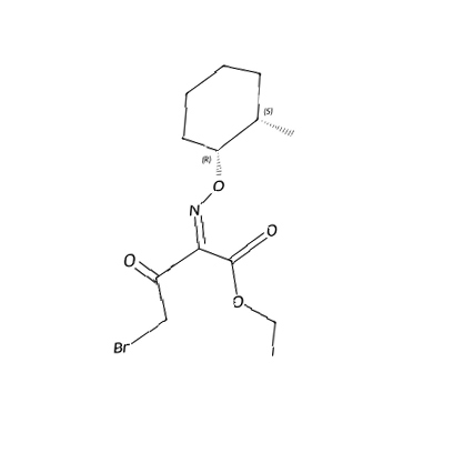 CCOC(=O)C(=NO[C@@H]1CCCC[C@@H]1C)C(=O)CBr